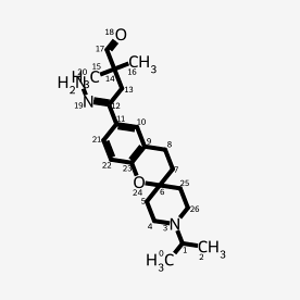 CC(C)N1CCC2(CCc3cc(/C(CC(C)(C)C=O)=N/N)ccc3O2)CC1